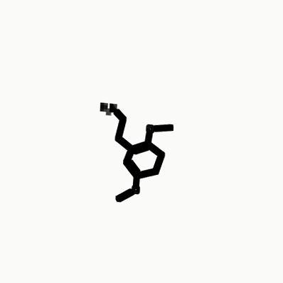 COC1=CC(CCN)=C(OC)CC1